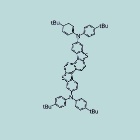 CC(C)(C)c1ccc(N(C2=CCC(C(C)(C)C)C=C2)c2ccc3c(c2)sc2ccc4c(ccc5sc6cc(N(c7ccc(C(C)(C)C)cc7)c7ccc(C(C)(C)C)cc7)ccc6c54)c23)cc1